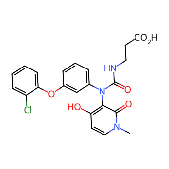 Cn1ccc(O)c(N(C(=O)NCCC(=O)O)c2cccc(Oc3ccccc3Cl)c2)c1=O